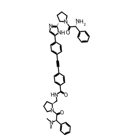 CN(C)[C@@H](C(=O)N1CCC[C@H]1CNC(=O)c1ccc(C#Cc2ccc(-c3cnc([C@@H]4CCCN4C(=O)[C@H](N)c4ccccc4)[nH]3)cc2)cc1)c1ccccc1